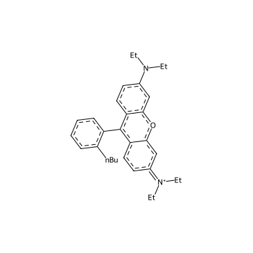 CCCCc1ccccc1-c1c2ccc(=[N+](CC)CC)cc-2oc2cc(N(CC)CC)ccc12